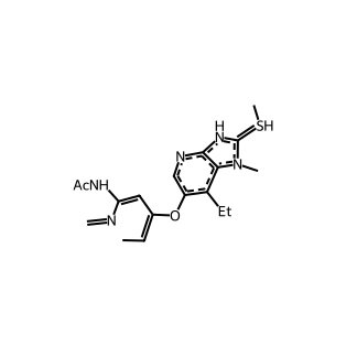 C=N/C(=C\C(=C/C)Oc1cnc2[nH]/c(=[SH]\C)n(C)c2c1CC)NC(C)=O